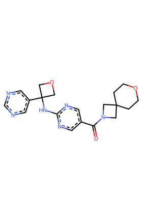 O=C(c1cnc(NC2(c3cncnc3)COC2)nc1)N1CC2(CCOCC2)C1